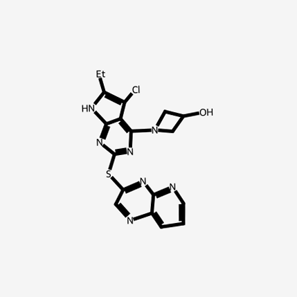 CCc1[nH]c2nc(Sc3cnc4cccnc4n3)nc(N3CC(O)C3)c2c1Cl